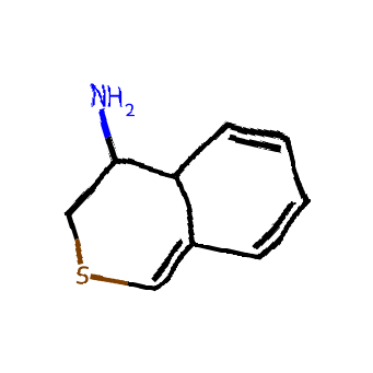 NC1CSC=C2C=CC=CC21